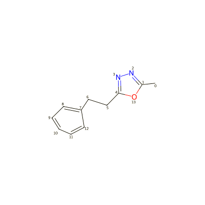 Cc1nnc(CCc2ccccc2)o1